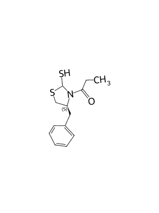 CCC(=O)N1C(S)SC[C@@H]1Cc1ccccc1